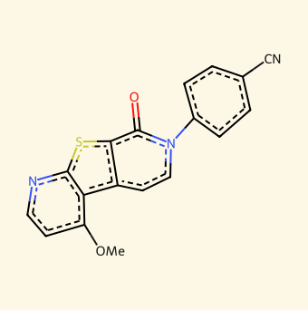 COc1ccnc2sc3c(=O)n(-c4ccc(C#N)cc4)ccc3c12